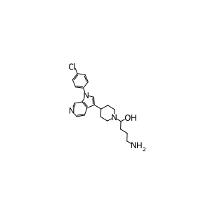 NCCCC(O)N1CCC(c2cn(-c3ccc(Cl)cc3)c3cnccc23)CC1